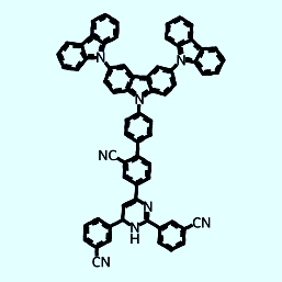 N#Cc1cccc(C2=NC(c3ccc(-c4ccc(-n5c6ccc(-n7c8ccccc8c8ccccc87)cc6c6cc(-n7c8ccccc8c8ccccc87)ccc65)cc4)c(C#N)c3)=CC(c3cccc(C#N)c3)N2)c1